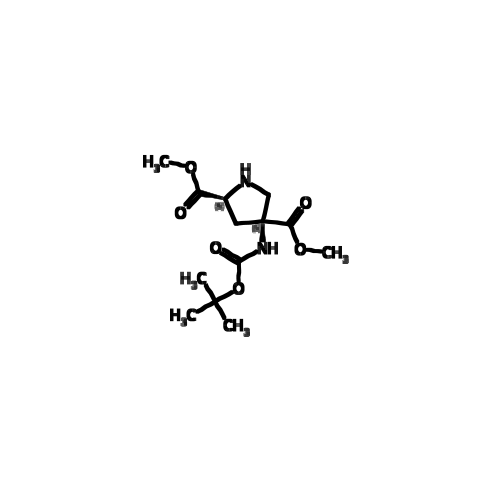 COC(=O)[C@@H]1C[C@@](NC(=O)OC(C)(C)C)(C(=O)OC)CN1